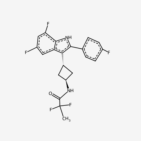 CC(F)(F)C(=O)N[C@H]1C[C@H](c2c(-c3ccc(F)cc3)[nH]c3c(F)cc(F)cc32)C1